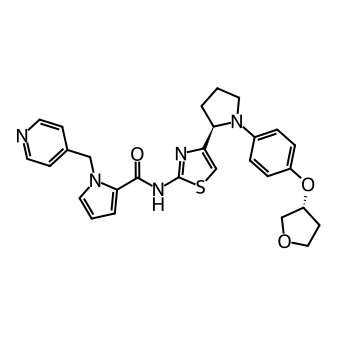 O=C(Nc1nc([C@H]2CCCN2c2ccc(O[C@@H]3CCOC3)cc2)cs1)c1cccn1Cc1ccncc1